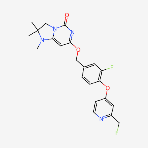 CN1c2cc(OCc3ccc(Oc4ccnc(CF)c4)c(F)c3)nc(=O)n2CC1(C)C